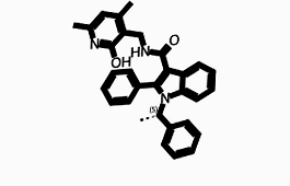 Cc1cc(C)c(CNC(=O)c2c(-c3ccccc3)n([C@@H](C)c3ccccc3)c3ccccc23)c(O)n1